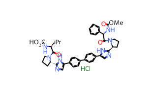 COC(=O)N[C@@H](C(=O)N1CCC[C@H]1c1ncc(-c2ccc(-c3ccc(-c4cnc([C@@H]5CCCN5C(=O)[C@@H](NC(=O)O)C(C)C)[nH]4)cc3)cc2)[nH]1)c1ccccc1.Cl